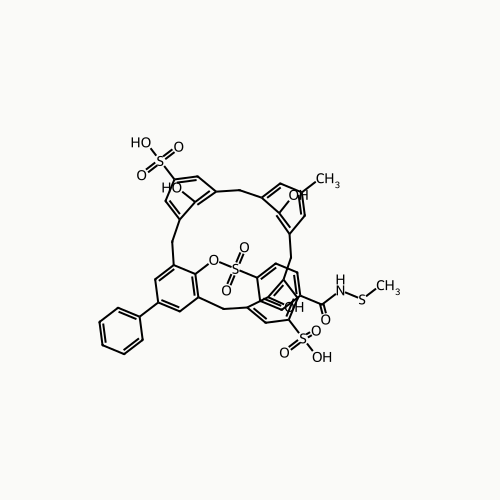 CSNC(=O)c1ccc(S(=O)(=O)Oc2c3cc(-c4ccccc4)cc2Cc2cc(S(=O)(=O)O)cc(c2O)Cc2cc(C)cc(c2O)Cc2cc(S(=O)(=O)O)cc(c2O)C3)cc1